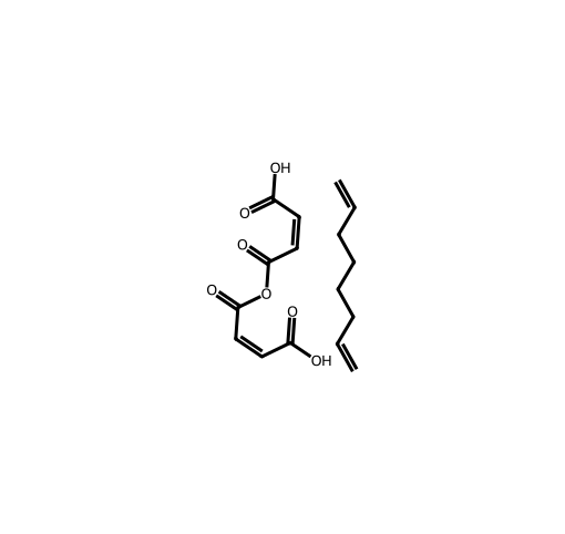 C=CCCCCC=C.O=C(O)/C=C\C(=O)OC(=O)/C=C\C(=O)O